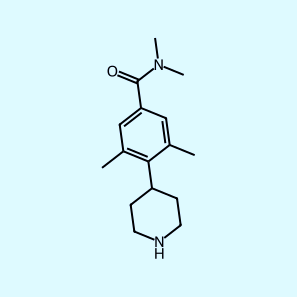 Cc1cc(C(=O)N(C)C)cc(C)c1C1CCNCC1